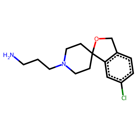 NCCCN1CCC2(CC1)OCc1ccc(Cl)cc12